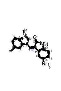 Cc1ccc2c(c1)c(/C=C1\C(=O)Nc3ccc(N)cc31)cn2C